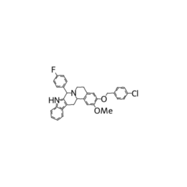 COc1cc2c(cc1OCc1ccc(Cl)cc1)CCN1C2Cc2c([nH]c3ccccc23)C1c1ccc(F)cc1